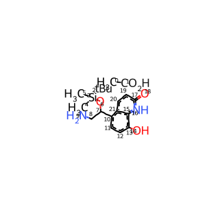 CC(=O)O.CC(C)(C)[Si](C)(C)OC(CN)c1ccc(O)c2[nH]c(=O)ccc12